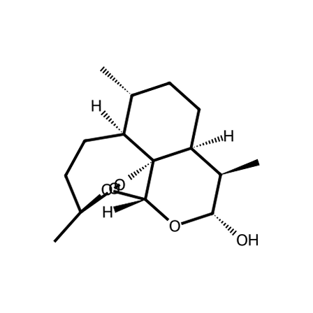 C[C@H]1[C@H](O)O[C@@H]2OC3(C)CC[C@H]4[C@H](C)CC[C@@H]1[C@@]24OO3